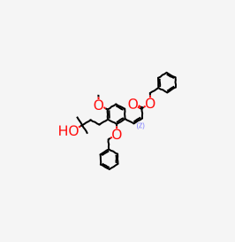 COc1ccc(/C=C\C(=O)OCc2ccccc2)c(OCc2ccccc2)c1CCC(C)(C)O